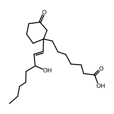 CCCCCC(O)C=CC1(CCCCCCC(=O)O)CCCC(=O)C1